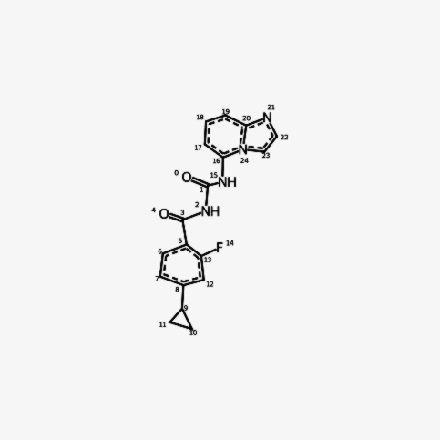 O=C(NC(=O)c1ccc(C2CC2)cc1F)Nc1cccc2nccn12